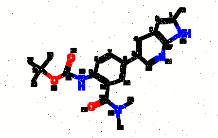 Cc1cc2cc(-c3ccc(NC(=O)OC(C)(C)C)c(C(=O)N(C)C)c3)cnc2[nH]1